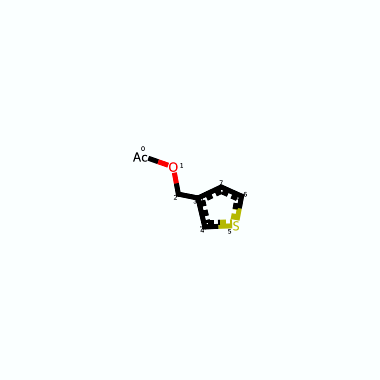 CC(=O)OCc1[c]scc1